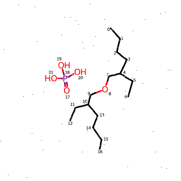 CCCCC(CC)COCC(CC)CCCC.O=P(O)(O)O